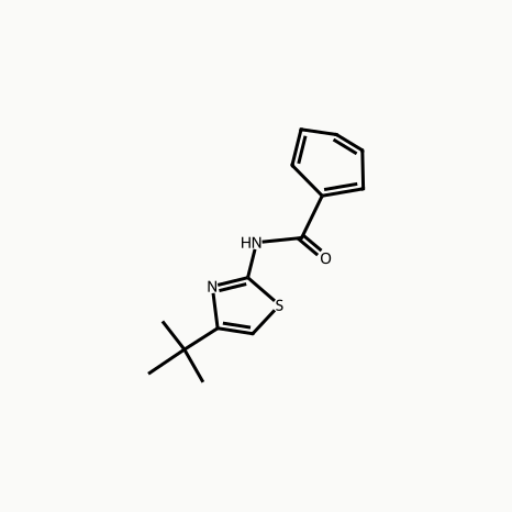 CC(C)(C)c1csc(NC(=O)c2ccccc2)n1